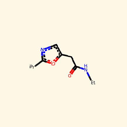 CCNC(=O)Cc1cnc(C(C)C)o1